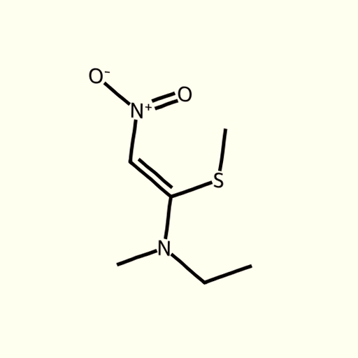 CCN(C)C(=C[N+](=O)[O-])SC